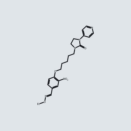 CCON=Cc1ccc(OCCCCCN2CCN(c3ccncc3)C2=O)c([N+](=O)[O-])c1